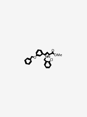 COC(=O)c1cc(-c2cccc(OCc3ccccc3)c2)n(Cc2ccccc2Cl)n1